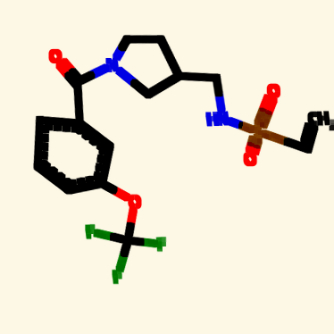 C=CS(=O)(=O)NCC1CCN(C(=O)c2cccc(OC(F)(F)F)c2)C1